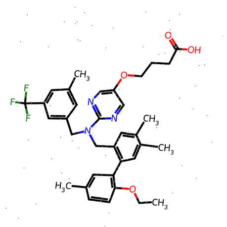 CCOc1ccc(C)cc1-c1cc(C)c(C)cc1CN(Cc1cc(C)cc(C(F)(F)F)c1)c1ncc(OCCCC(=O)O)cn1